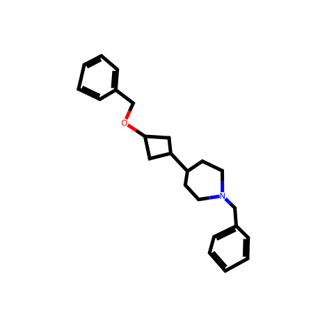 c1ccc(COC2CC(C3CCN(Cc4ccccc4)CC3)C2)cc1